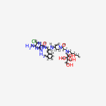 CCCCCCN(CCC(=O)N1CCC(N(C)CC(CNC(=O)c2nc(Cl)c(N)nc2N)Cc2ccccc2C)CC1)CC(O)C(O)C(O)CO